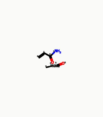 C=CC(N)=O.C=O.CNC